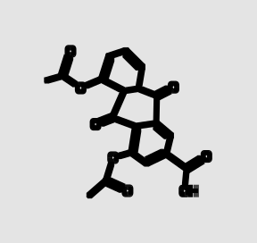 CC(=O)OC1=CC=CC2C(=O)c3cc(C(=O)O)cc(OC(C)=O)c3C(=O)C12